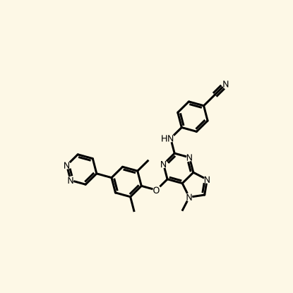 Cc1cc(-c2ccnnc2)cc(C)c1Oc1nc(Nc2ccc(C#N)cc2)nc2ncn(C)c12